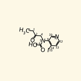 CCC(=O)CN(C(=O)O)c1cnccc1I